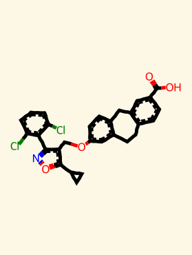 O=C(O)c1ccc2c(c1)Cc1ccc(OCc3c(-c4c(Cl)cccc4Cl)noc3C3CC3)cc1CC2